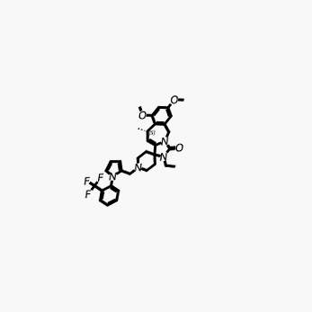 CCN1C(=O)N2Cc3cc(OC)cc(OC)c3[C@@H](C)C=C2C12CCN(Cc1cccn1-c1ccccc1C(F)(F)F)CC2